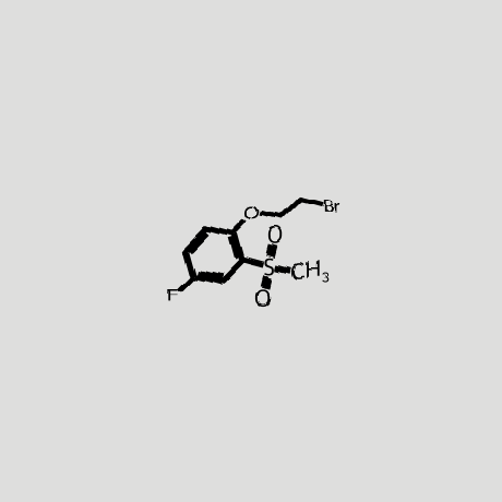 CS(=O)(=O)c1cc(F)ccc1OCCBr